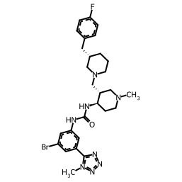 CN1CC[C@@H](NC(=O)Nc2cc(Br)cc(-c3nnnn3C)c2)[C@H](CN2CCC[C@@H](Cc3ccc(F)cc3)C2)C1